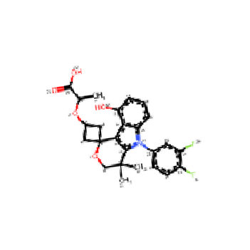 CC(OC1CC2(C1)OCC(C)(C)c1c2c2c(O)cccc2n1-c1ccc(F)c(F)c1)C(=O)O